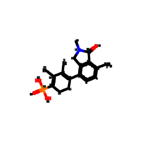 CCC1=C(c2ccc([N+](=O)[O-])c3c2CN(C)C3=O)CCC(P(=O)(O)O)=C1CC